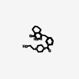 O=C(c1cccc(Cc2n[nH]c(=O)c3c2CCCC3)c1)N1CCN(CCO)CC1